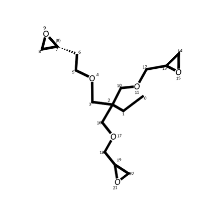 CCC(COCC[C@@H]1CO1)(COCC1CO1)COCC1CO1